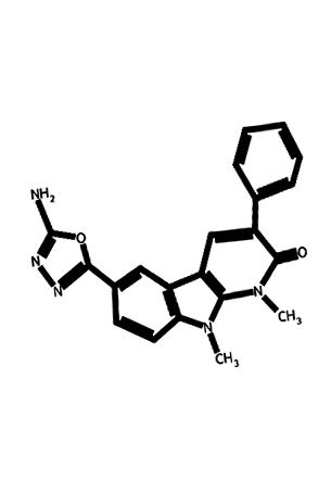 Cn1c(=O)c(-c2ccccc2)cc2c3cc(-c4nnc(N)o4)ccc3n(C)c21